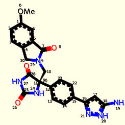 COc1ccc2c(c1)C(=O)N(C[C@@]1(c3ccc(-c4cc(N)[nH]n4)cc3)NC(=O)NC1=O)C2